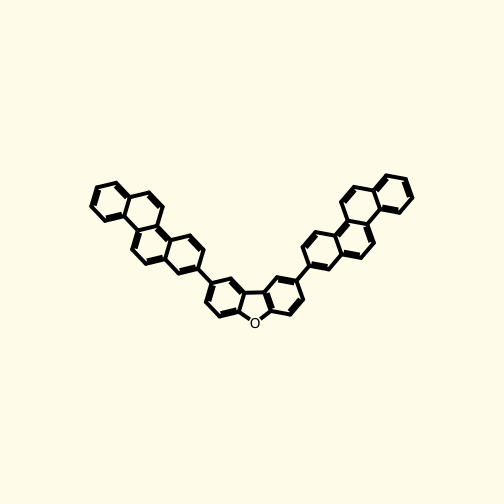 c1ccc2c(c1)ccc1c3ccc(-c4ccc5oc6ccc(-c7ccc8c(ccc9c%10ccccc%10ccc89)c7)cc6c5c4)cc3ccc21